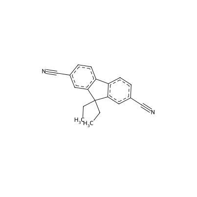 CCC1(CC)c2cc(C#N)ccc2-c2ccc(C#N)cc21